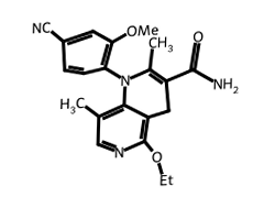 CCOc1ncc(C)c2c1CC(C(N)=O)=C(C)N2c1ccc(C#N)cc1OC